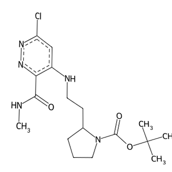 CNC(=O)c1nnc(Cl)cc1NCCC1CCCN1C(=O)OC(C)(C)C